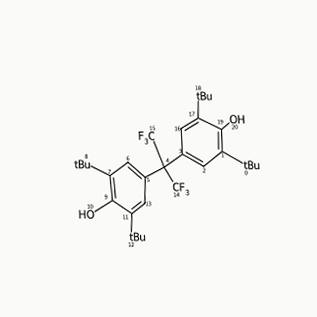 CC(C)(C)c1cc(C(c2cc(C(C)(C)C)c(O)c(C(C)(C)C)c2)(C(F)(F)F)C(F)(F)F)cc(C(C)(C)C)c1O